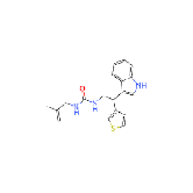 C=C(C)CNC(=O)NCC(c1ccsc1)c1c[nH]c2ccccc12